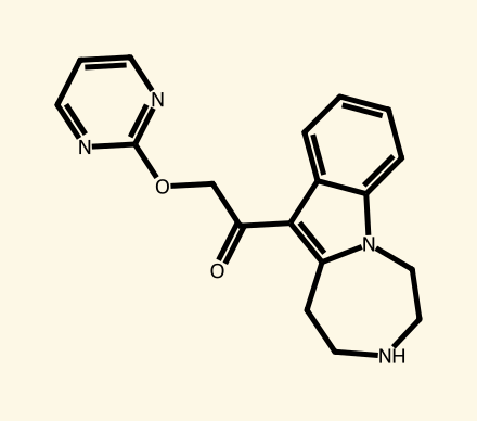 O=C(COc1ncccn1)c1c2n(c3ccccc13)CCNCC2